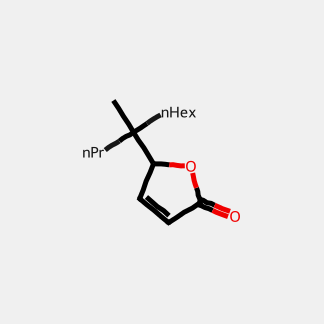 CCCCCCC(C)(CCC)C1C=CC(=O)O1